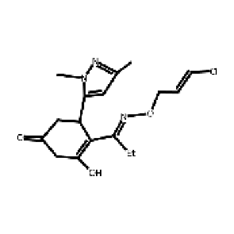 CCC(=NOCC=CCl)C1=C(O)CC(=O)CC1c1cc(C)nn1C